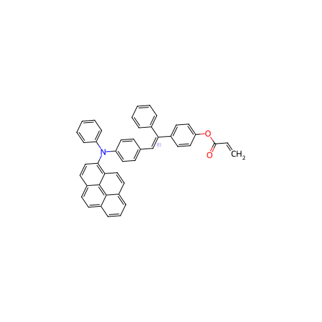 C=CC(=O)Oc1ccc(/C(=C/c2ccc(N(c3ccccc3)c3ccc4ccc5cccc6ccc3c4c56)cc2)c2ccccc2)cc1